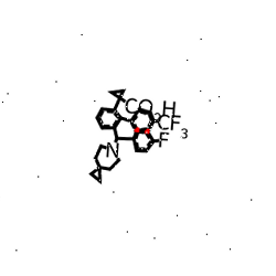 O=C(O)C1(c2cccc(C(c3ccc(F)cc3)N3CCC4(CC3)CC4)c2-c2ccc(C(F)(F)F)cc2)CC1